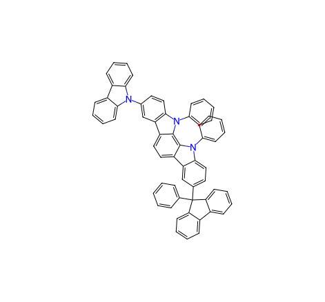 c1ccc(-n2c3ccc(-n4c5ccccc5c5ccccc54)cc3c3ccc4c5cc(C6(c7ccccc7)c7ccccc7-c7ccccc76)ccc5n(-c5ccccc5)c4c32)cc1